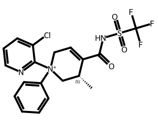 C[C@@H]1C[N+](c2ccccc2)(c2ncccc2Cl)CC=C1C(=O)NS(=O)(=O)C(F)(F)F